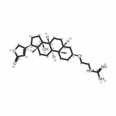 C[C@]12CC[C@H](OCCNC(=N)N)C[C@H]1CC[C@@H]1[C@@H]2CC[C@]2(C)[C@@H](C3=CC(=O)OC3)CC[C@]12O